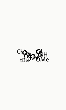 COC(c1ccc(N(Cc2ccc(Cl)cc2)C(=O)OC(C)(C)C)nc1)C1CNc2ncccc21